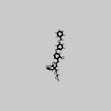 C#CCC(CCCc1ccc(Sc2cccc(OCc3ccccc3)c2)cc1Cl)(COCOC)C(=O)O